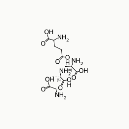 C[C@@H](N)C(=O)O.C[C@H](N)C(=O)O.NC(CCC(=O)O)C(=O)O.NCC(=O)O